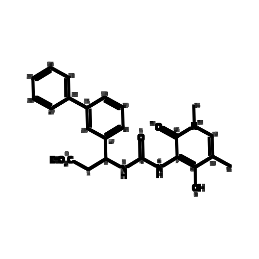 CCOC(=O)CC(NC(=O)Nc1c(O)c(C)cn(C)c1=O)c1cccc(-c2ccccc2)c1